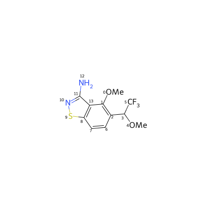 COc1c(C(OC)C(F)(F)F)ccc2snc(N)c12